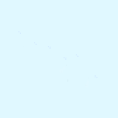 Cc1c(C(=O)N(C)C)sc2ncn(CCN3CCN(c4cncc5ccccc45)CC3)c(=O)c12